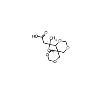 CC(C)(CC(=O)O)C1OCOCC12COCOC2